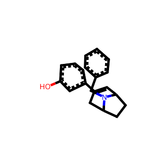 Oc1cccc(C2=CC3CCC(C2)N3Cc2ccccc2)c1